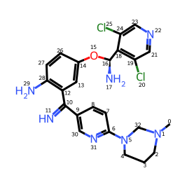 CN1CCCN(c2ccc(C(=N)c3cc(O[C@H](N)c4c(Cl)cncc4Cl)ccc3N)cn2)C1